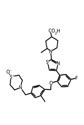 Cc1cc(CN2CC[S+]([O-])CC2)ccc1COc1ccc(F)cc1-c1csc(N2CCC(C(=O)O)CC2C)n1